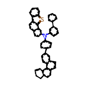 C1=Cc2c(ccc3ccc4cc(-c5ccc(N(c6cccc(-c7ccccc7)c6)c6ccc7ccc8c9ccccc9sc8c7c6)cc5)ccc4c23)CC1